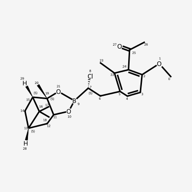 COc1ccc(C[C@@H](Cl)B2OC3C[C@@H]4C[C@@H](C4(C)C)[C@]3(C)O2)c(C)c1C(C)=O